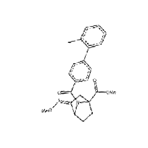 CO/N=C1/CC2(C(=O)OC)CCC1N2C(=O)c1ccc(-c2ccccc2C)cc1